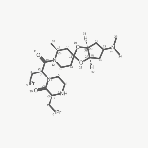 CC(C)C[C@@H]1NCCN([C@@H](CC(C)C)C(=O)N2CCC3(C[C@@H]2C)O[C@H]2CC(N(C)C)C[C@H]2O3)C1=O